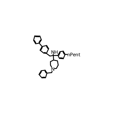 CCCCCc1ccc(C(N)(Cc2ccc(-c3ccccc3)cc2)C2CCCN(Cc3ccccc3)CC2)cc1